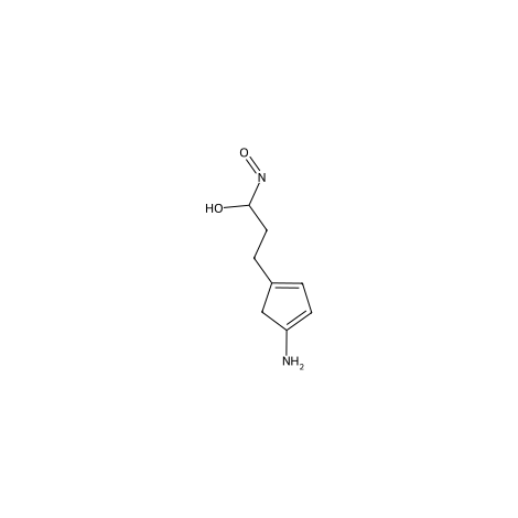 NC1=CC=C(CCC(O)N=O)C1